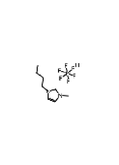 CCCCN1C=CN(C)C1.F[P-](F)(F)(F)(F)F.[H+]